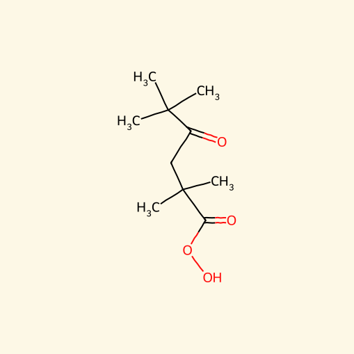 CC(C)(C)C(=O)CC(C)(C)C(=O)OO